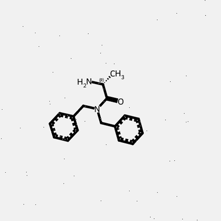 C[C@@H](N)C(=O)N(Cc1ccccc1)Cc1ccccc1